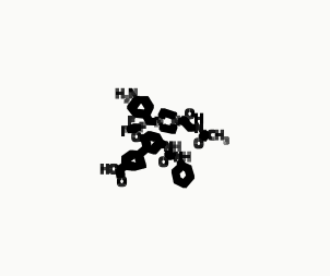 CC(=O)NCC(=O)N1CCN(Cc2ccc(N)cc2)CC1.O=C(Nc1ccc(OC(F)(F)F)c(-c2ccc(C(=O)O)cc2)c1)NC1CCCCC1